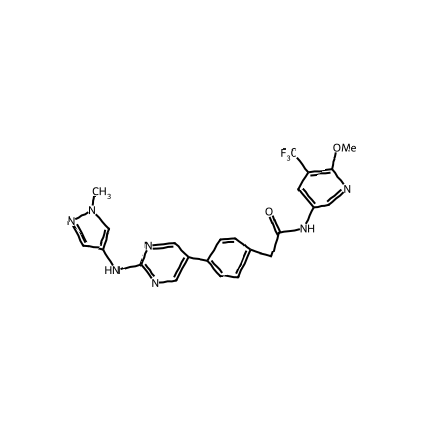 COc1ncc(NC(=O)Cc2ccc(-c3cnc(Nc4cnn(C)c4)nc3)cc2)cc1C(F)(F)F